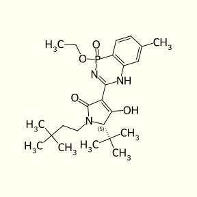 CCOP1(=O)N=C(C2=C(O)[C@H](C(C)(C)C)N(CCC(C)(C)C)C2=O)Nc2cc(C)ccc21